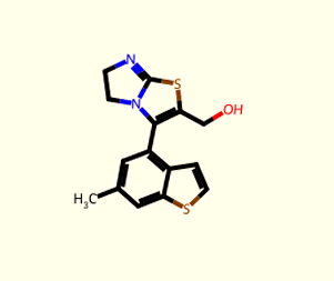 Cc1cc(C2=C(CO)SC3=NCCN32)c2ccsc2c1